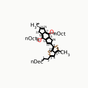 CCCCCCCCCCCCc1cc2c(C)sc(C3=Cc4c(c(OCCCCCCCC)c5c(c4OCCCCCCCC)CC(C)=C5)C3)c2s1